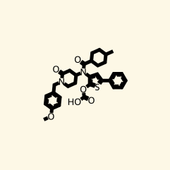 COc1ccc(CN2CCC(N(C(=O)C3CCC(C)CC3)c3cc(-c4ccccc4)sc3OC(=O)O)CC2=O)cc1